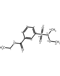 CCOC(=O)c1cccc(S(=O)(=O)N(C)OC)c1